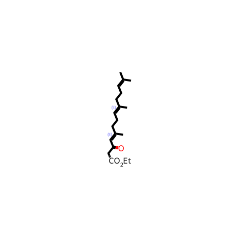 CCOC(=O)CC(=O)/C=C(\C)CC/C=C(\C)CCC=C(C)C